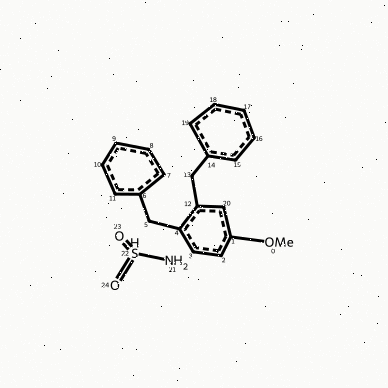 COc1ccc(Cc2ccccc2)c(Cc2ccccc2)c1.N[SH](=O)=O